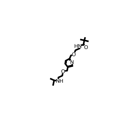 CC(C)NCCOCc1ccc(COCCNC(=O)C(C)(C)C)nc1